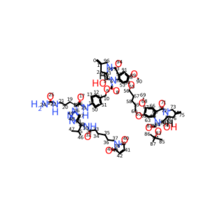 C=C1C[C@H]2[C@H](O)N(C(=O)OCc3ccc(NC(=O)[C@H](CCCNC(N)=O)n4cc([C@@H](NC(=O)CCCCCN5C(=O)C=CC5=O)C(C)C)nn4)cc3)c3cc(OCCCCCOc4cc5c(cc4OC)C(=O)N4CC(=C)C[C@H]4[C@H](O)N5C(=O)OC(C)(C)C)c(OC)cc3C(=O)N2C1